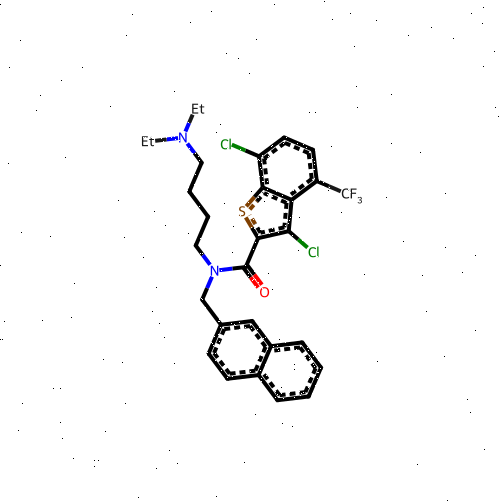 CCN(CC)CCCCN(Cc1ccc2ccccc2c1)C(=O)c1sc2c(Cl)ccc(C(F)(F)F)c2c1Cl